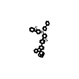 c1ccc(-c2ccc(N(c3ccc4c(c3)sc3ccccc34)c3ccc4sc5cc(-c6ccc7c(c6)-c6ccccc6C76C7CC8CC(C7)CC6C8)ccc5c4c3)cc2)cc1